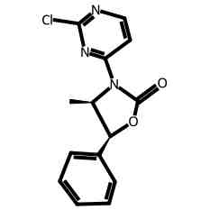 C[C@@H]1[C@H](c2ccccc2)OC(=O)N1c1ccnc(Cl)n1